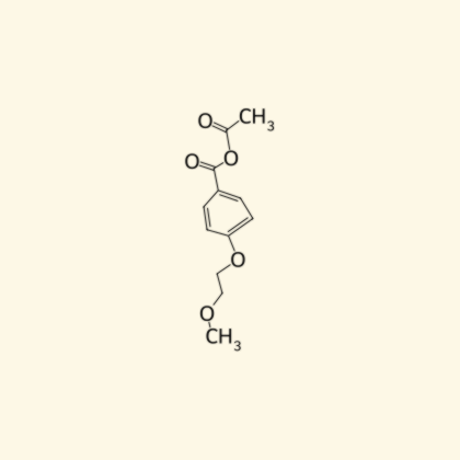 COCCOc1ccc(C(=O)OC(C)=O)cc1